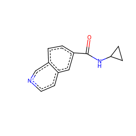 O=C(NC1CC1)c1ccc2cnccc2c1